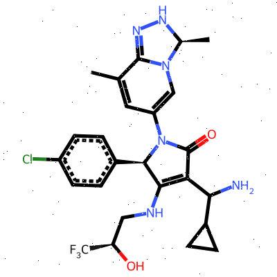 CC1=CC(N2C(=O)C(C(N)C3CC3)=C(NC[C@@H](O)C(F)(F)F)[C@H]2c2ccc(Cl)cc2)=CN2C1=NN[C@H]2C